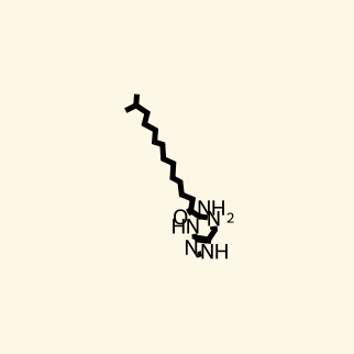 CC(C)CCCCCCCCCCCC(=O)C1(N)N=Cc2[nH]cnc2N1